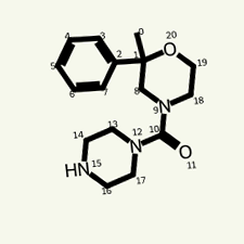 CC1(c2ccccc2)CN(C(=O)N2CCNCC2)CCO1